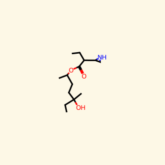 CCC(C(=O)OC(C)CCC(C)(O)CC)C1CN1